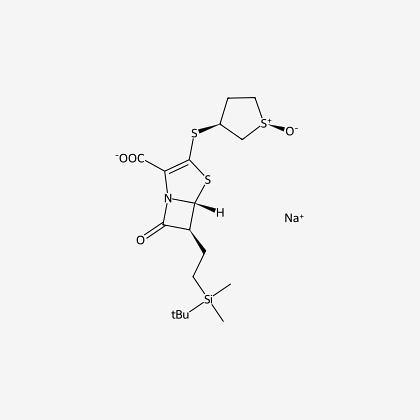 CC(C)(C)[Si](C)(C)CC[C@H]1C(=O)N2C(C(=O)[O-])=C(S[C@H]3CC[S@@+]([O-])C3)S[C@H]12.[Na+]